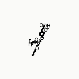 CCCCCOCCN(CCOc1ccc(CC(OCC)C(=O)O)cc1)C(=O)OCC(F)(F)F